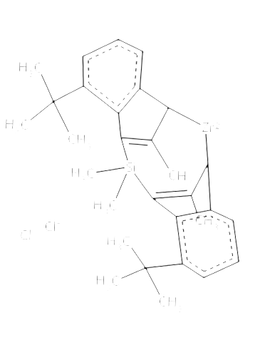 CC1=C2c3c(cccc3C(C)(C)C)[CH]1[Zr+2][CH]1C(C)=C(c3c1cccc3C(C)(C)C)[Si]2(C)C.[Cl-].[Cl-]